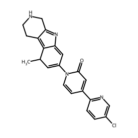 CC1C=C(n2ccc(-c3ccc(Cl)cn3)cc2=O)C=C2N=C3CNCCC3=C21